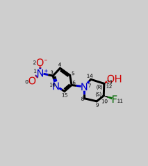 O=[N+]([O-])c1ccc(N2CC[C@H](F)[C@H](O)C2)cn1